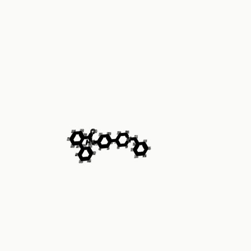 O=C(Nc1ccc(C2CCN(Cc3ccccc3)CC2)cc1)c1ccccc1-c1ccccc1